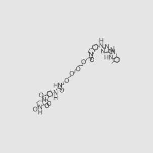 Cc1cccc(C)c1Nc1nn(C)c2nc(Nc3ccc4c(c3)CN(C(=O)CCOCCOCCOCCOCCNC(=O)CNc3ccc5c(c3)C(=O)N(C3CCC(=O)NC3=O)C5=O)CC4)ncc12